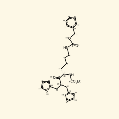 CCOC(=O)N[C@@H](CCCCNC(=O)OCc1ccccc1)C(=O)N(Cc1cccs1)Cc1cccs1